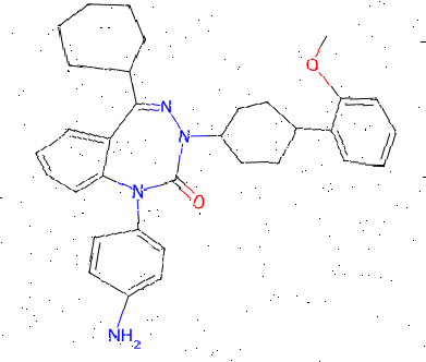 COc1ccccc1C1CCC(N2N=C(C3CCCCC3)c3ccccc3N(c3ccc(N)cc3)C2=O)CC1